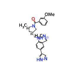 C/N=C\c1cc(-c2cn[nH]c2)ccc1NC[C@@H]1C[C@H](C)N(C(=O)c2cccc(OC)c2)C1